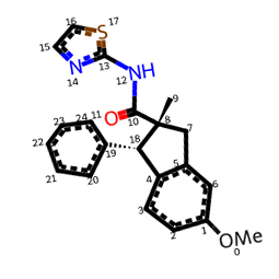 COc1ccc2c(c1)C[C@@](C)(C(=O)Nc1nccs1)[C@H]2c1ccccc1